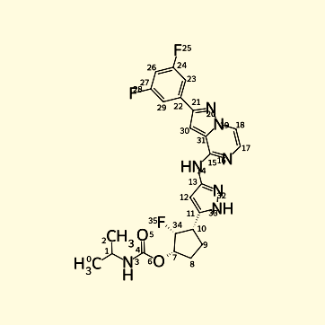 CC(C)NC(=O)O[C@H]1CC[C@@H](c2cc(Nc3nccn4nc(-c5cc(F)cc(F)c5)cc34)n[nH]2)[C@H]1F